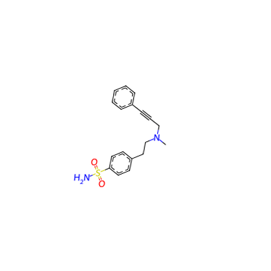 CN(CC#Cc1ccccc1)CCc1ccc(S(N)(=O)=O)cc1